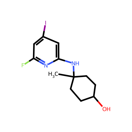 CC1(Nc2cc(I)cc(F)n2)CCC(O)CC1